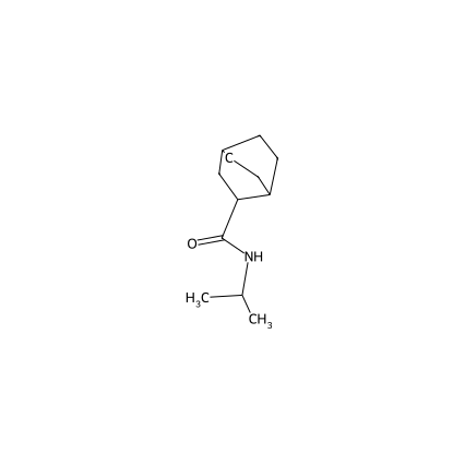 CC(C)NC(=O)C1CC2CCC1CC2